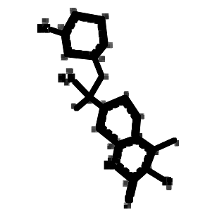 CCc1c(C)c2ccc(C(C)(N)Cc3cccc(C#N)c3)cc2[nH]c1=O